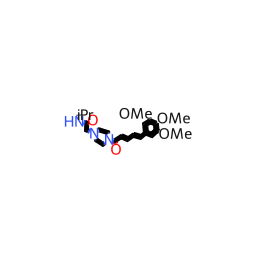 COc1cc(C=CC=CC(=O)N2CCN(CC(=O)NC(C)C)CC2)cc(OC)c1OC